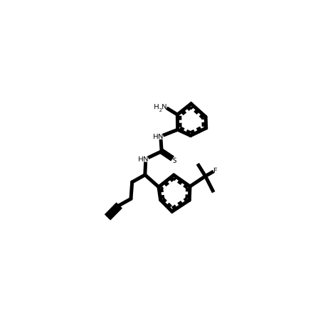 C#CCCC(NC(=S)Nc1ccccc1N)c1cccc(C(C)(C)F)c1